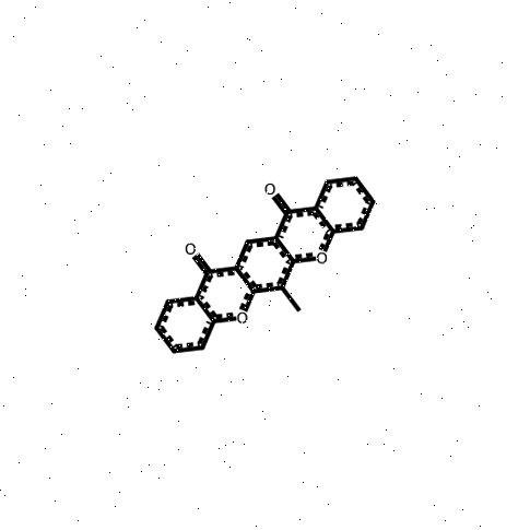 Cc1c2oc3ccccc3c(=O)c2cc2c(=O)c3ccccc3oc12